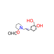 O=COC1CCCCN1C/C=C/c1ccc(O)c(CO)c1